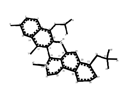 Cc1ccc2c(CC(C)C)c3c(c(C)c2c1)-c1c2c(cc4c(CC(C)(C)C)cccc4c2cc[n+]1C)S3